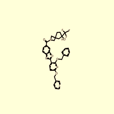 O=C(c1ccc2nc(-c3ccc(OCc4ccccc4)nc3OCc3ccccc3)oc2c1)N1CC2(CCC(O)(C(F)(F)F)C2)C1